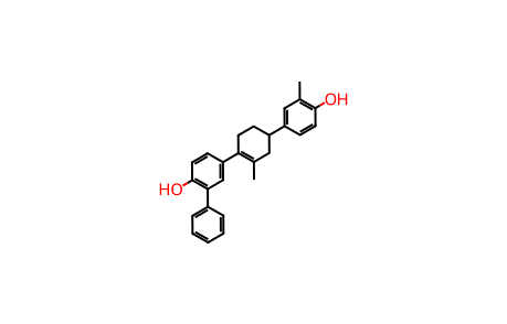 CC1=C(c2ccc(O)c(-c3ccccc3)c2)CCC(c2ccc(O)c(C)c2)C1